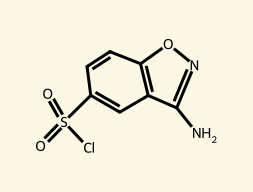 Nc1noc2ccc(S(=O)(=O)Cl)cc12